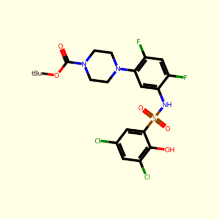 CC(C)(C)OC(=O)N1CCN(c2cc(NS(=O)(=O)c3cc(Cl)cc(Cl)c3O)c(F)cc2F)CC1